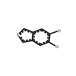 Clc1cc2cscc2cc1Cl